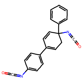 O=C=Nc1ccc(C2=CCC(N=C=O)(c3ccccc3)C=C2)cc1